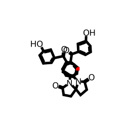 O=C(c1ccc(N2C(=O)CCC23CCC(=O)N3c2ccc(C(=O)c3cccc(O)c3)cc2)cc1)c1cccc(O)c1